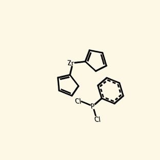 C1=CC[C]([Zr][C]2=CC=CC2)=C1.ClP(Cl)c1ccccc1